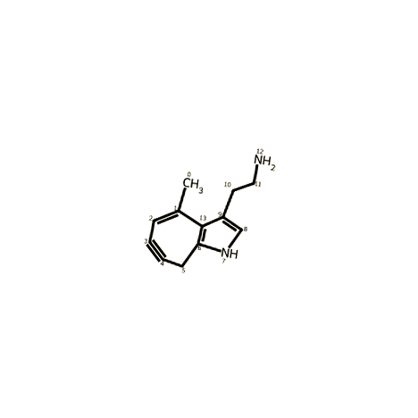 CC1=CC#CCc2[nH]cc(CCN)c21